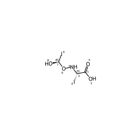 O=C(O)[C@H](I)NO[C@@H](O)I